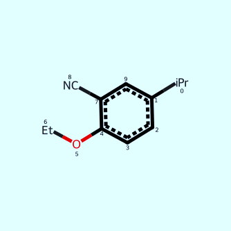 [CH2]C(C)c1ccc(OCC)c(C#N)c1